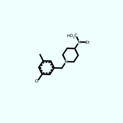 CCN(C(=O)O)C1CCN(Cc2cc(C)cc(Cl)c2)CC1